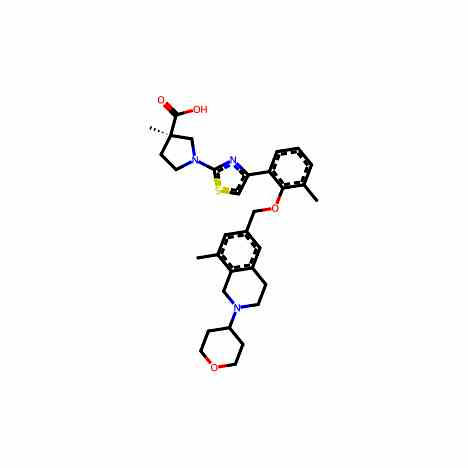 Cc1cc(COc2c(C)cccc2-c2csc(N3CC[C@@](C)(C(=O)O)C3)n2)cc2c1CN(C1CCOCC1)CC2